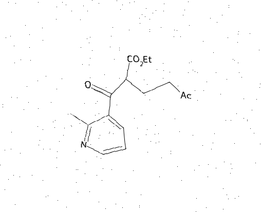 CCOC(=O)C(CCC(C)=O)C(=O)c1cccnc1C